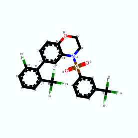 O=S(=O)(c1cccc(C(F)(F)F)c1)N1CCOc2ccc(-c3c(F)cccc3C(F)(F)F)cc21